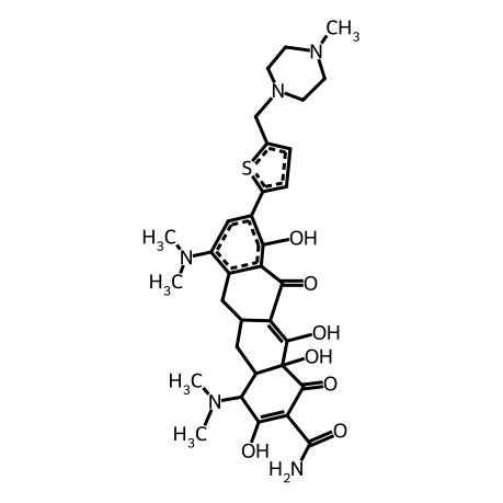 CN1CCN(Cc2ccc(-c3cc(N(C)C)c4c(c3O)C(=O)C3=C(O)C5(O)C(=O)C(C(N)=O)=C(O)C(N(C)C)C5CC3C4)s2)CC1